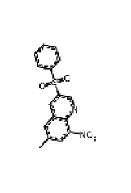 Cc1cc([N+](=O)[O-])c2ncc(S(=O)(=O)c3ccccc3)cc2c1